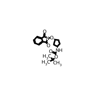 CC(C)(C)OC(=O)N[C@H]1CC[C@@H](ON2C(=O)c3ccccc3C2=O)C1